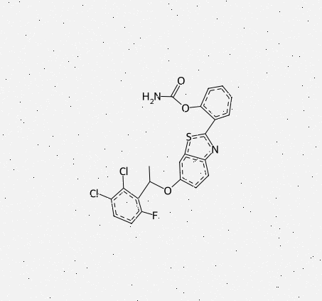 CC(Oc1ccc2nc(-c3ccccc3OC(N)=O)sc2c1)c1c(F)ccc(Cl)c1Cl